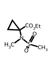 CCOC(=O)C1(N(C)S(C)(=O)=O)CC1